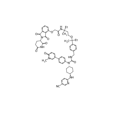 CCC(C)(CCOC(C)(CC)c1ccc(CNC(=O)N(c2ccc(-c3ccc(=O)n(C)c3)cc2)[C@H]2CC[C@H](Nc3ccc(C#N)cn3)CC2)cc1)NC(=O)COc1cccc2c1C(=O)N(C1CCC(=O)NC1=O)C2=O